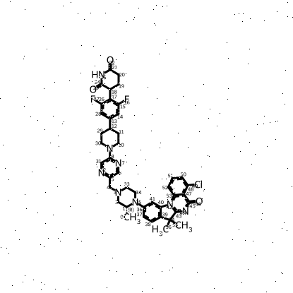 C[C@@H]1CN(Cc2cnc(N3CCC(c4cc(F)c(C5CCC(=O)NC5=O)c(F)c4)CC3)cn2)CCN1c1ccc2c(c1)-n1c(nc(=O)c3c(Cl)cccc31)C2(C)C